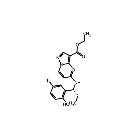 CCOC(=O)c1cnn2ccc(N[C@H](CC)c3cc(F)ccc3O)nc12